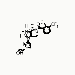 C[C@H]1C2=C(CCN1C(=O)c1cccc(C(F)(F)F)c1Cl)N(c1ccn(CCO)n1)NN2